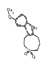 COc1ccc2[nH]c3c(c2c1)CCS(=O)(=O)CCC3